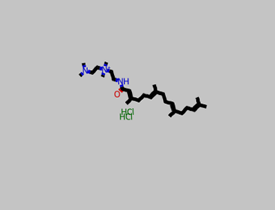 CC(C)=CCCC(C)=CCCC(C)=CCCC(C)=CC(=O)NCC[N+](C)(C)CCN(C)C.Cl.Cl